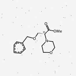 COC(=O)[C@@H](COCc1ccccc1)N1CCOCC1